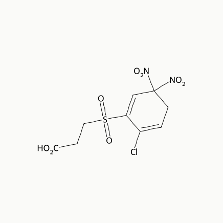 O=C(O)CCS(=O)(=O)C1=CC([N+](=O)[O-])([N+](=O)[O-])CC=C1Cl